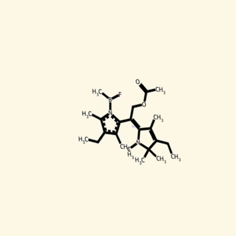 CCC1=C(C)/C(=C(\COC(C)=O)c2c(C)c(CC)c(C)n2B(C)F)N(C)C1(C)C